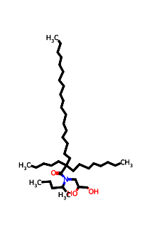 CCCCCCCCCCCCCCCCCCC(CCCCC)(CCCCCCCC)C(=O)N(CC(O)CO)C(C)CCC